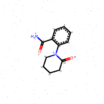 NC(=O)c1ccccc1N1CCCCC1=O